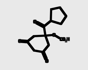 O=C1CC(=O)CC(OC(=O)O)(C(=O)C2CCCC2)C1